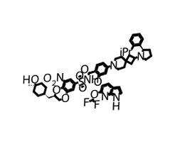 CC(C)c1ccccc1[C@H]1CCCN1C1CC2(CCN(c3ccc(C(=O)NS(=O)(=O)c4cc5c(c([N+](=O)[O-])c4)O[C@H](C[C@H]4CC[C@](C)(O)CC4)CO5)c(Oc4cc5cc[nH]c5nc4OC(F)F)c3)CC2)C1